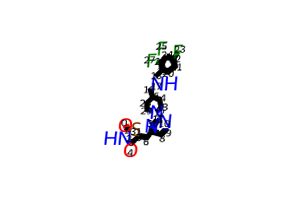 O=C1NC(=O)C(=Cc2ccnc(N3CCC(CNCc4ccc(F)c(F)c4F)CC3)n2)S1